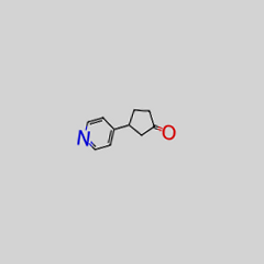 O=C1CCC(c2ccncc2)C1